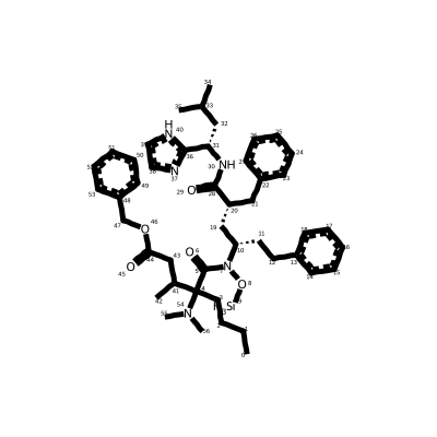 CCCCC(C(=O)N(O[SiH3])[C@@H](CCc1ccccc1)C[C@@H](Cc1ccccc1)C(=O)N[C@@H](CC(C)C)c1ncc[nH]1)(C(C)CC(=O)OCc1ccccc1)N(C)C